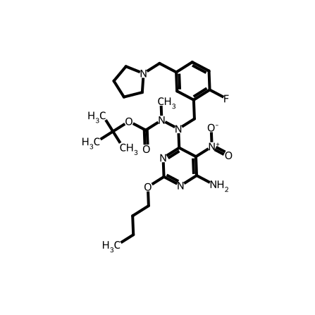 CCCCOc1nc(N)c([N+](=O)[O-])c(N(Cc2cc(CN3CCCC3)ccc2F)N(C)C(=O)OC(C)(C)C)n1